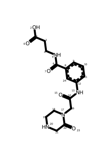 O=C(O)CCNC(=O)c1cccc(NC(=O)CN2CCNCC2=O)c1